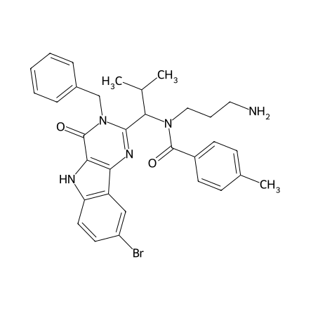 Cc1ccc(C(=O)N(CCCN)C(c2nc3c([nH]c4ccc(Br)cc43)c(=O)n2Cc2ccccc2)C(C)C)cc1